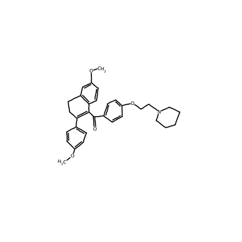 COc1ccc(C2=C(C(=O)c3ccc(OCCN4CCCCC4)cc3)c3ccc(OC)cc3CC2)cc1